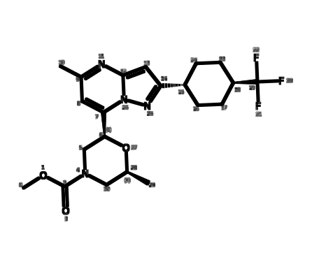 COC(=O)N1C[C@@H](c2cc(C)nc3cc([C@H]4CC[C@H](C(F)(F)F)CC4)nn23)O[C@@H](C)C1